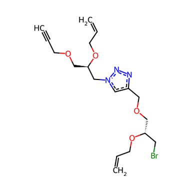 C#CCOC[C@H](Cn1cc(COC[C@H](CBr)OCC=C)nn1)OCC=C